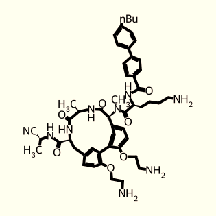 CCCCc1ccc(-c2ccc(C(=O)N[C@@H](CCCCN)C(=O)N(C)[C@@H]3C(=O)N[C@@H](C)C(=O)N[C@H](C(=O)N[C@H](C)C#N)Cc4ccc(OCCN)c(c4)-c4cc3ccc4OCCN)cc2)cc1